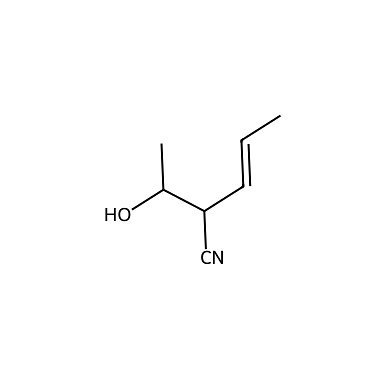 CC=CC(C#N)C(C)O